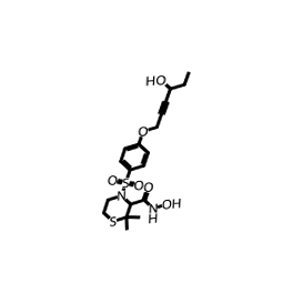 CCC(O)C#CCOc1ccc(S(=O)(=O)N2CCSC(C)(C)C2C(=O)NO)cc1